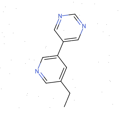 CCc1cncc(-c2cncnc2)c1